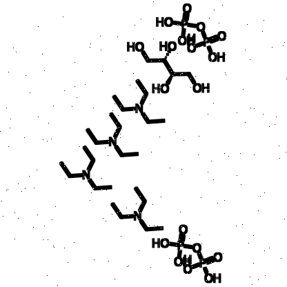 CCN(CC)CC.CCN(CC)CC.CCN(CC)CC.CCN(CC)CC.O=P(O)(O)OP(=O)(O)O.O=P(O)(O)OP(=O)(O)O.OC[C@@H](O)[C@@H](O)CO